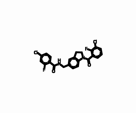 O=C(NCc1ccc2c(c1)CCN2C(=O)c1cccc(Cl)c1F)c1ccc(Cl)cc1F